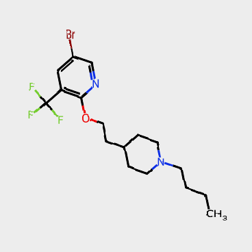 CCCCN1CCC(CCOc2ncc(Br)cc2C(F)(F)F)CC1